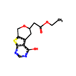 CCOC(=O)CC1Cc2c(sc3ncnc(O)c23)CO1